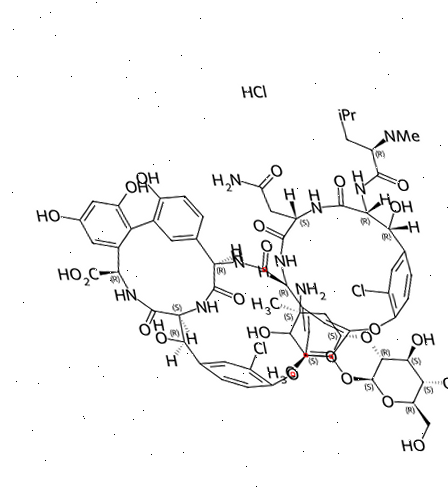 CN[C@H](CC(C)C)C(=O)N[C@H]1C(=O)N[C@@H](CC(N)=O)C(=O)N[C@H]2C(=O)N[C@H]3C(=O)N[C@H](C(=O)N[C@@H](C(=O)O)c4cc(O)cc(O)c4-c4cc3ccc4O)[C@H](O)c3ccc(c(Cl)c3)Oc3cc2cc(c3O[C@@H]2O[C@H](CO)[C@@H](O)[C@H](O)[C@H]2O[C@H]2C[C@](C)(N)C(O)[C@H](C)O2)Oc2ccc(cc2Cl)[C@H]1O.Cl